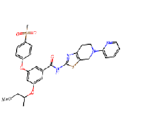 COCC(C)Oc1cc(Oc2ccc(S(C)(=O)=O)cc2)cc(C(=O)Nc2nc3c(s2)CN(c2ccccn2)CC3)c1